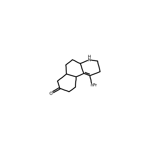 CCCC1=C2C(CCC3CC(=O)CCC23)NCC1